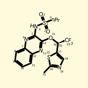 CCCS(=O)(=O)Nc1nc2ccccc2nc1O[C@H](c1cnc(C)s1)C(F)(F)F